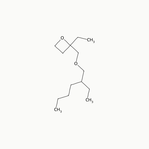 CCCCC(CC)COCC1(CC)CCO1